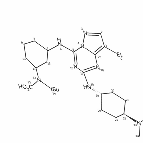 CCc1cnn2c(NC3CCCC(N(C(=O)O)C(C)(C)C)C3)nc(N[C@H]3CC[C@H](N(C)C)CC3)nc12